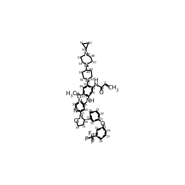 C=CC(=O)Nc1cc(Nc2cc(N3OCC[C@@H]3c3cccc(Oc4cccc(C(F)(F)F)c4)c3)ncn2)c(OC)cc1N1CCC(N2CCN(C3CC3)CC2)CC1